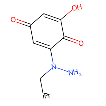 CC(C)CN(N)C1=CC(=O)C=C(O)C1=O